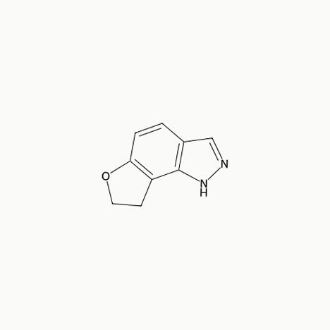 c1cc2cn[nH]c2c2c1OCC2